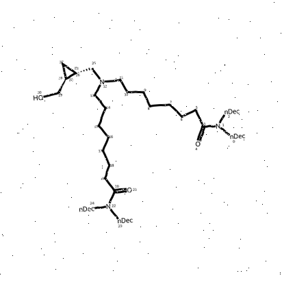 CCCCCCCCCCN(CCCCCCCCCC)C(=O)CCCCCCCN(CCCCCCCC(=O)N(CCCCCCCCCC)CCCCCCCCCC)C[C@H]1C[C@@H]1CO